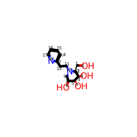 OC[C@H]1C(O)C(O)C(O)CN1CCc1ccccn1